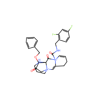 O=C1C[N+]23C=C4CCC=C[N+]4(C(=O)NCc4ccc(F)cc4F)C(=O)C2(NCCC3)C1OCc1ccccc1